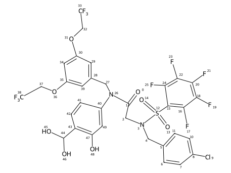 O=C(CN(Cc1ccc(Cl)cc1)S(=O)(=O)c1c(F)c(F)c(F)c(F)c1F)N(Cc1cc(OCC(F)(F)F)cc(OCC(F)(F)F)c1)c1ccc(C(O)O)c(O)c1